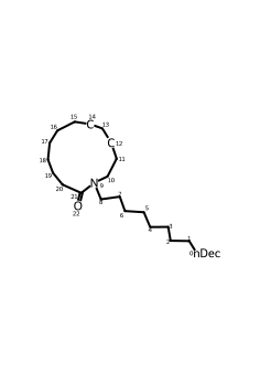 CCCCCCCCCCCCCCCCCCN1CCCCCCCCCCCC1=O